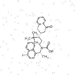 C[C@H](c1ccc(F)c2ccccc12)N(CCC([C@H]1CC(=O)c2ccccc2C1)C(C)(C)C)C(=O)O